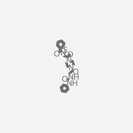 O=C(NCC(=O)N1CCN(C(=O)Cn2sc3ccccc3c2=O)CC1)Nc1ccccc1